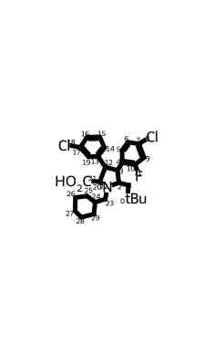 CC(C)(C)CC1C(c2ccc(Cl)cc2F)C(c2cccc(Cl)c2)C(C(=O)O)N1CC1CCCCC1